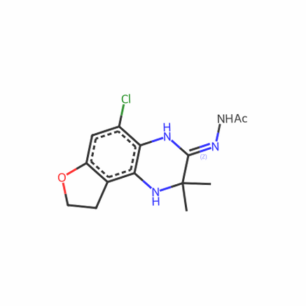 CC(=O)N/N=C1\Nc2c(Cl)cc3c(c2NC1(C)C)CCO3